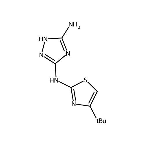 CC(C)(C)c1csc(Nc2n[nH]c(N)n2)n1